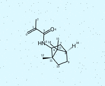 C=C(C)C(=O)NC1C[C@H]2CC[C@@]1(C)C2(C)C